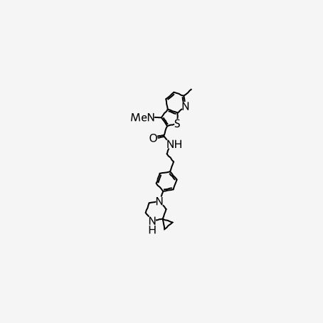 CNc1c(C(=O)NCCc2ccc(N3CCNC4(CC4)C3)cc2)sc2nc(C)ccc12